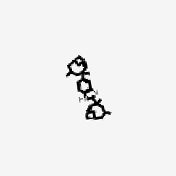 CC1CC2CC(=CC(C)(c3ccc4[nH]c(C5(C)C=C6CC(C6)CC(C)C5)nc4c3)C1)C2